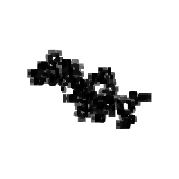 CC(C)C[C@@H](NC(=O)[C@H](Cc1ccc(O)cc1)NC(=O)C(CCCNC(=N)N)NC(=O)C(CO)NC(=O)C(Cc1ccccc1)NC(=O)[C@H](CC1CCCCC1)NC(=O)[C@@H](CC(O)O)NC(=O)CN1CCN(CC(=O)O)CCN(CC(=O)O)CC1)C(=O)N[C@@H](Cc1c[nH]c2ccccc12)C(=O)N[C@@H](CO)C(=O)O